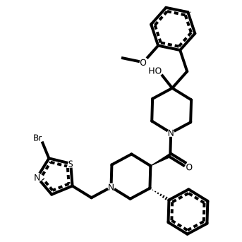 COc1cc[c]cc1CC1(O)CCN(C(=O)[C@@H]2CCN(Cc3cnc(Br)s3)C[C@H]2c2ccccc2)CC1